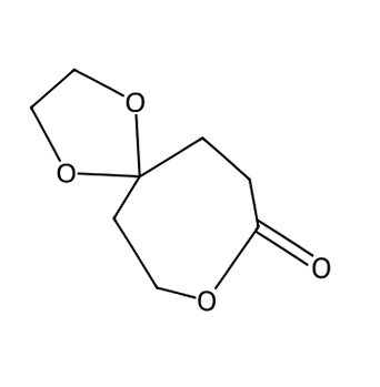 O=C1CCC2(CCO1)OCCO2